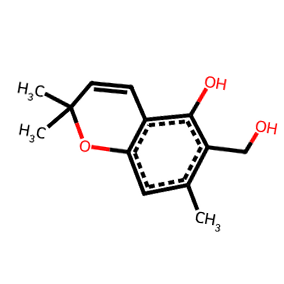 Cc1cc2c(c(O)c1CO)C=CC(C)(C)O2